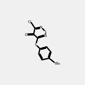 CC(C)(C)c1ccc(Sc2nsnc(Cl)c2=O)cc1